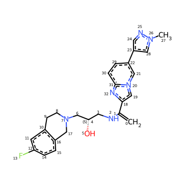 C=C(NC[C@H](O)CN1CCc2cc(F)ccc2C1)c1cn2cc(-c3cnn(C)c3)ccc2n1